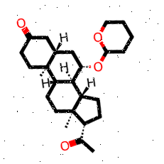 CC(=O)[C@H]1CC[C@H]2[C@@H]3[C@@H](OC4CCCCO4)C[C@H]4CC(=O)CC[C@]4(C)[C@H]3CC[C@]12C